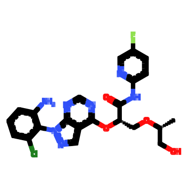 C[C@H](CO)OC[C@H](Oc1ncnc2c1cnn2-c1c(N)cccc1Cl)C(=O)Nc1ccc(F)cn1